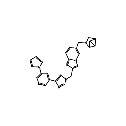 c1ccn(-c2cncc(-c3cn(Cc4cn5cc(CN6CC7C8C7C86)ccc5n4)nn3)c2)c1